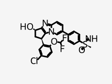 C[S@@](=N)(=O)c1ccc(-c2ccc3nc4c(n3c2)[C@@H](c2cc(Cl)ccc2OC(F)F)C[C@H]4O)cc1